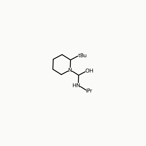 CC(C)NC(O)N1CCCCC1C(C)(C)C